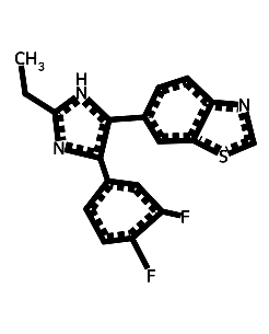 CCc1nc(-c2ccc(F)c(F)c2)c(-c2ccc3ncsc3c2)[nH]1